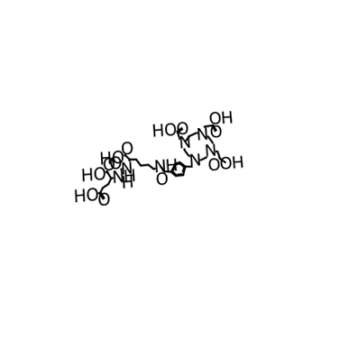 O=C(O)CCC(NC(=O)NC(CCCCNC(=O)c1ccc(CN2CCN(CC(=O)O)CCN(CC(=O)O)CCN(CC(=O)O)CC2)cc1)C(=O)O)C(=O)O